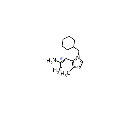 C/C(N)=C\c1c(C)ccn1CC1CCCCC1